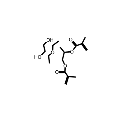 C=C(C)C(=O)OCC(C)OC(=O)C(=C)C.CCOCC.OCCO